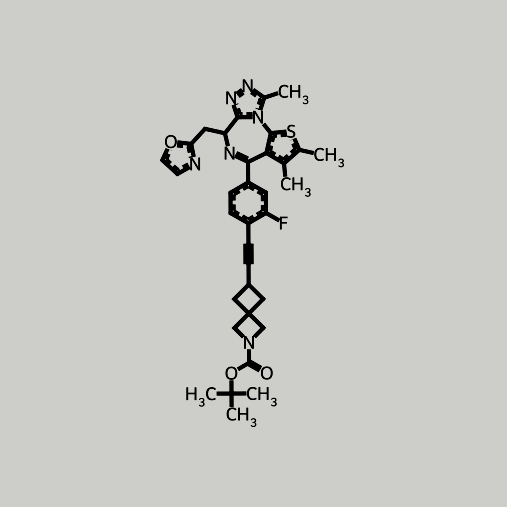 Cc1sc2c(c1C)C(c1ccc(C#CC3CC4(C3)CN(C(=O)OC(C)(C)C)C4)c(F)c1)=NC(Cc1ncco1)c1nnc(C)n1-2